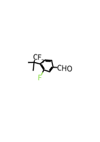 CC(C)(c1ccc(C=O)cc1F)C(F)(F)F